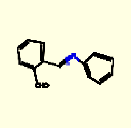 O=[C]c1ccccc1/[C]=N/c1ccccc1